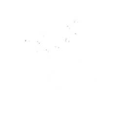 CCCCN1C(=O)CC(=O)N(C2CCC3(CC2)CC(C(=O)OCC)C3)C1=O.CCCCNC(=O)NC1CCC2(CC1)CC(C(=O)OCC)C2